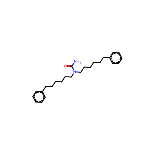 NC(=O)N(CCCCCCc1ccccc1)CCCCCCc1ccccc1